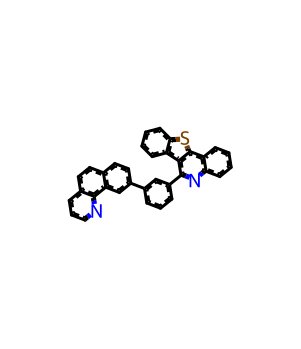 c1cc(-c2ccc3ccc4cccnc4c3c2)cc(-c2nc3ccccc3c3sc4ccccc4c23)c1